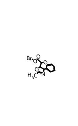 CC1=NC2c3ccccc3OC(C(=O)OBr)C2O1